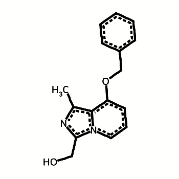 Cc1nc(CO)n2cccc(OCc3ccccc3)c12